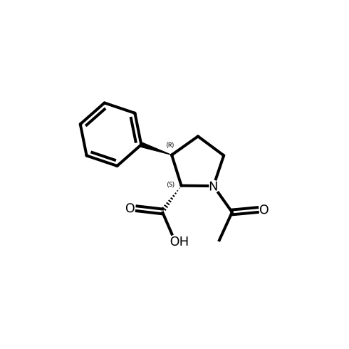 CC(=O)N1CC[C@H](c2ccccc2)[C@H]1C(=O)O